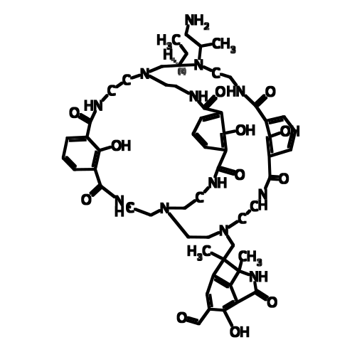 CC[C@@H]1CN2CCNC(=O)c3cccc(c3O)C(=O)NCCN(CCNC(=O)c3cccc(c3O)C(=O)NCC2)CCN(CC2(C)c3cc(C=O)c(O)c4c3C2(C)NC4=O)CCNC(=O)c2cccc(c2O)C(=O)NCCN1C(C)CN